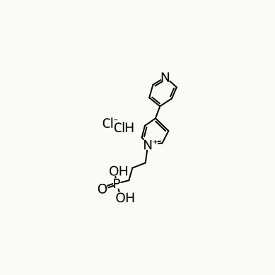 Cl.O=P(O)(O)CCC[n+]1ccc(-c2ccncc2)cc1.[Cl-]